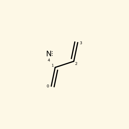 C=CC=C.[N]